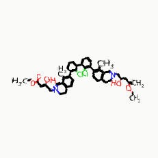 C=C(C[C@H](O)CN1CCc2ccc(-c3cccc(-c4cccc(-c5ccc6c(c5C)CN(C[C@@H](O)CC(=O)OCC)CC6)c4Cl)c3Cl)c(C)c2C1)OCC